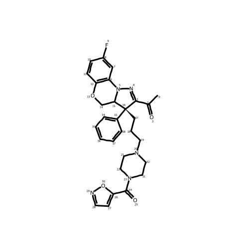 CC(=O)C1=NN2c3cc(F)ccc3OCC2[C@@]1(CCCN1CCN(C(=O)c2ccno2)CC1)c1ccccc1